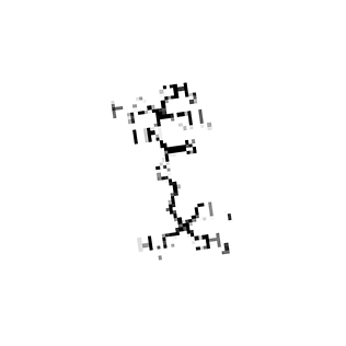 CC(C)(C)CCOC(=S)NC(C)(C)C